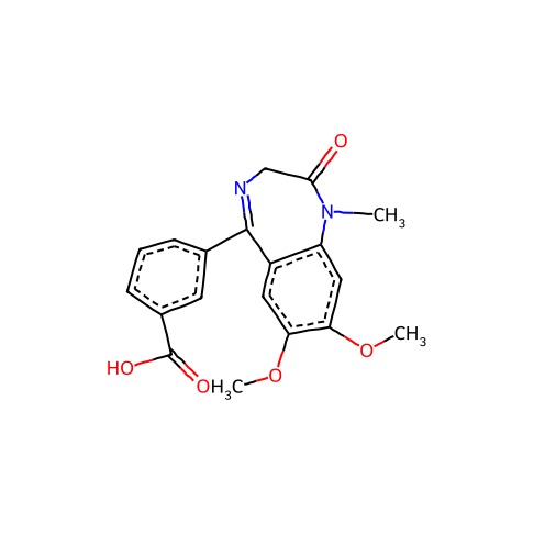 COc1cc2c(cc1OC)N(C)C(=O)CN=C2c1cccc(C(=O)O)c1